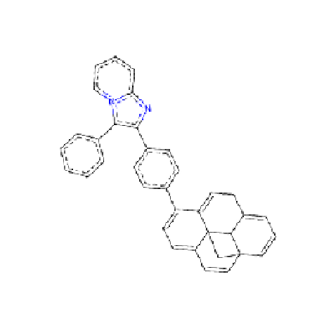 C1=CC23C=CC4=CC=C(c5ccc(-c6nc7ccccn7c6-c6ccccc6)cc5)C5=CCC(=C1)C2C45C3